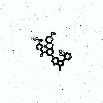 CNC1CCN(C(=O)c2cc(-c3cnc4[nH]cc(-c5ccccc5OC)c4c3)cc(F)c2N[C@H]2CC[C@H](O)CC2)C1